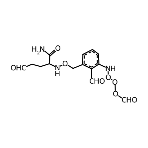 NC(=O)C(CCC=O)NOCc1cccc(NOOOC=O)c1C=O